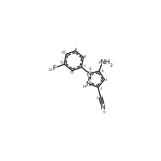 N#Cc1cc(N)n(-c2cccc(F)c2)n1